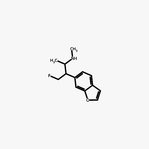 CNC(C)C(CF)c1ccc2ccoc2c1